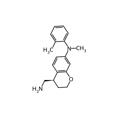 Cc1ccccc1N(C)c1ccc2c(c1)OCC[C@H]2CN